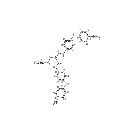 CCCCCCCCCCCCC(CCc1ccc(Cc2ccc(N)cc2)cc1)CCc1ccc(Cc2ccc(N)cc2)cc1